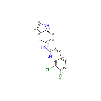 Clc1ccc2ccc(Nc3ccc4[nH]ccc4c3)nc2c1Cl